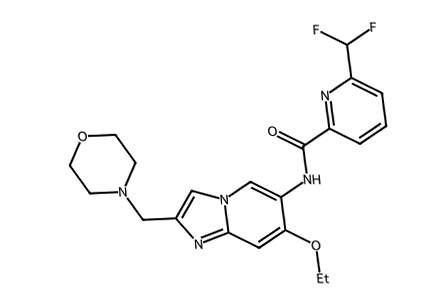 CCOc1cc2nc(CN3CCOCC3)cn2cc1NC(=O)c1cccc(C(F)F)n1